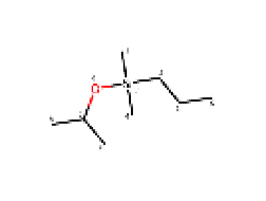 CCC[Si](C)(C)O[C](C)C